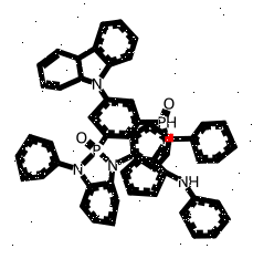 O=[PH](c1cc(N2c3ccccc3C3C=CC=CC32)cc(P2(=O)N(c3ccccc3)c3ccccc3N2c2ccccc2)c1)N(c1ccccc1)c1ccccc1Nc1ccccc1